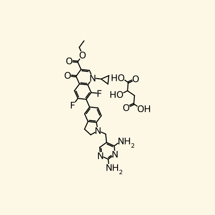 CCOC(=O)c1cn(C2CC2)c2c(F)c(-c3ccc4c(c3)CCN4Cc3cnc(N)nc3N)c(F)cc2c1=O.O=C(O)CC(O)C(=O)O